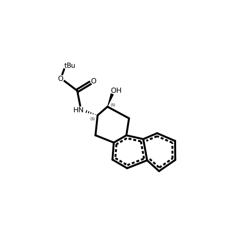 CC(C)(C)OC(=O)N[C@H]1Cc2ccc3ccccc3c2C[C@@H]1O